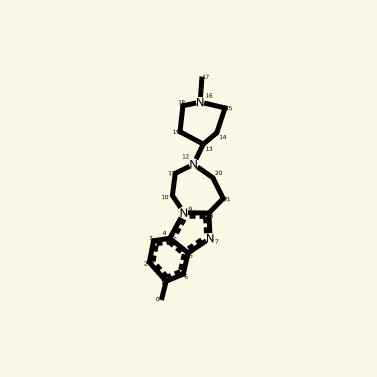 Cc1ccc2c(c1)nc1n2CCN(C2CCN(C)CC2)CC1